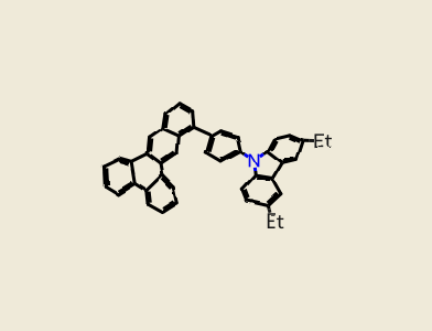 CCc1ccc2c(c1)c1cc(CC)ccc1n2-c1ccc(-c2cccc3cc4c5ccccc5c5ccccc5c4cc23)cc1